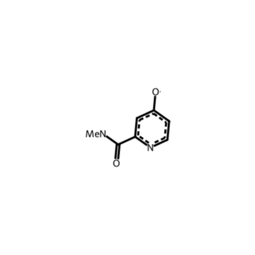 CNC(=O)c1cc([O])ccn1